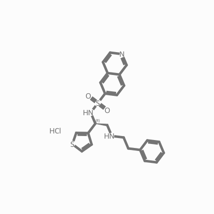 Cl.O=S(=O)(N[C@@H](CNCCc1ccccc1)c1ccsc1)c1ccc2cnccc2c1